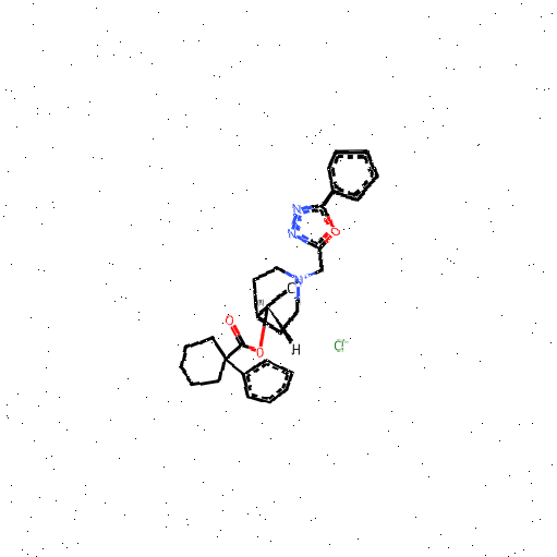 O=C(O[C@H]1C[N+]2(Cc3nnc(-c4ccccc4)o3)CCC1CC2)C1(c2ccccc2)CCCCC1.[Cl-]